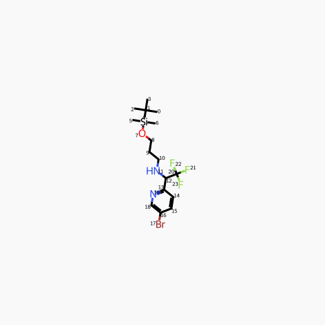 CC(C)(C)[Si](C)(C)OCCCNC(c1ccc(Br)cn1)C(F)(F)F